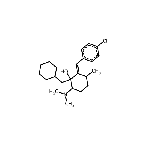 CC1CCC(N(C)C)C(O)(CC2CCCCC2)C1=Cc1ccc(Cl)cc1